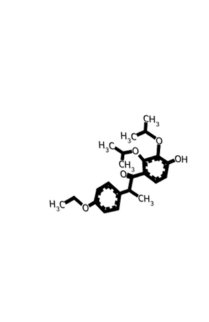 CCOc1ccc(C(C)C(=O)c2ccc(O)c(OC(C)C)c2OC(C)C)cc1